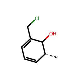 C[C@@H]1C=CC=C(CCl)C1O